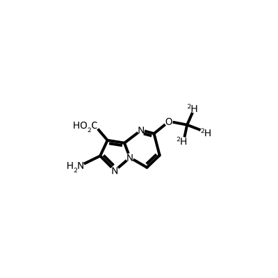 [2H]C([2H])([2H])Oc1ccn2nc(N)c(C(=O)O)c2n1